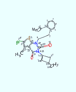 COc1ccccc1CCn1c(=O)n(C2CC(C)C2)c(=O)c2c(C)c(Br)sc21